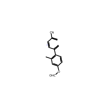 C=C(C#N)/C=C\C(=C)c1ccc(OC=O)cc1C